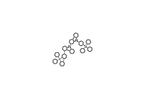 c1ccc(C2(c3ccccc3)c3ccccc3-c3ccc(-c4cccc5c4c4ccccc4n5-c4ccc5c6ccccc6n(-c6ccc([Si](c7ccccc7)(c7ccccc7)c7ccccc7)cc6)c5c4)cc32)cc1